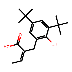 CC=C(Cc1cc(C(C)(C)C)cc(C(C)(C)C)c1O)C(=O)O